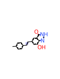 Cc1ccc(/C=C/c2cc(O)c3nc[nH]c(=O)c3c2)cc1